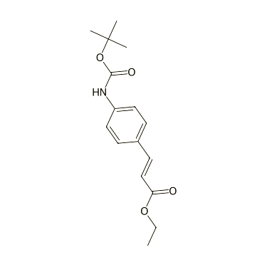 CCOC(=O)/C=C/c1ccc(NC(=O)OC(C)(C)C)cc1